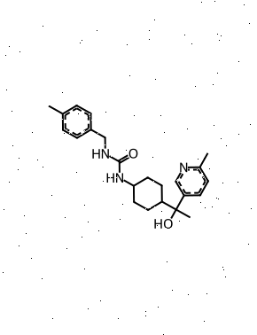 Cc1ccc(CNC(=O)NC2CCC(C(C)(O)c3ccc(C)nc3)CC2)cc1